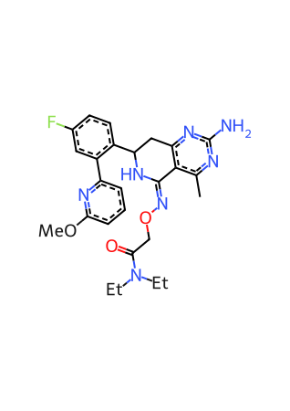 CCN(CC)C(=O)CO/N=C1\NC(c2ccc(F)cc2-c2cccc(OC)n2)Cc2nc(N)nc(C)c21